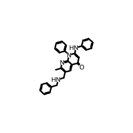 Cc1nc2c(cc1CNCc1ccccc1)c(=O)cc(Nc1ccccc1)n2-c1ccccc1